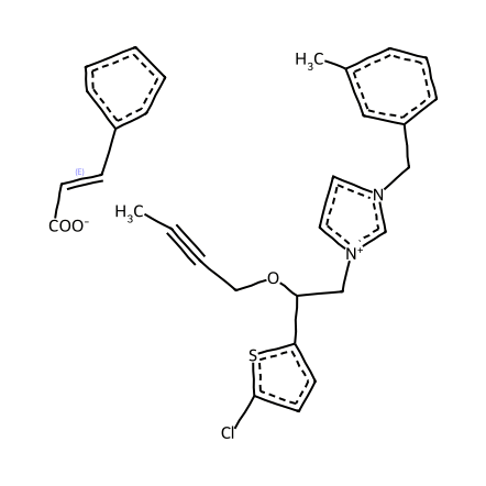 CC#CCOC(C[n+]1ccn(Cc2cccc(C)c2)c1)c1ccc(Cl)s1.O=C([O-])/C=C/c1ccccc1